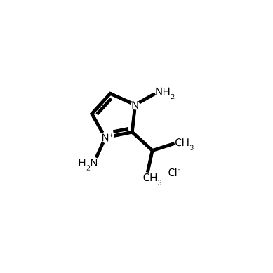 CC(C)c1n(N)cc[n+]1N.[Cl-]